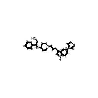 OCC(NC1CCN(CCCc2c[nH]c3ccc(-n4cnnc4)cc23)CC1)c1ccccc1